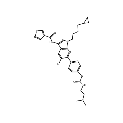 CN(C)CCNC(=O)Oc1ccc(-c2nc3c(cc2Cl)c(NC(=O)c2cnsc2)nn3CCCCC2CC2)cc1